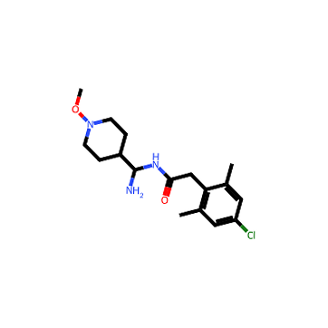 CON1CCC(C(N)NC(=O)Cc2c(C)cc(Cl)cc2C)CC1